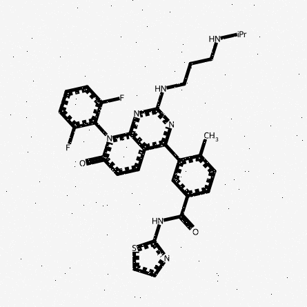 Cc1ccc(C(=O)Nc2nccs2)cc1-c1nc(NCCCNC(C)C)nc2c1ccc(=O)n2-c1c(F)cccc1F